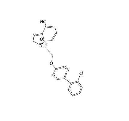 N#CC1=CC=CC23O[C@H](COc4ccc(-c5ccccc5Cl)nc4)CN2CN=C13